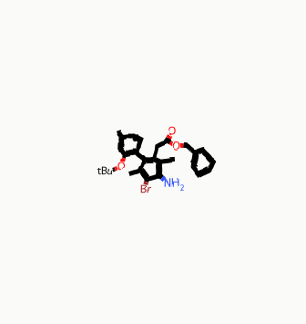 Cc1ccc(-c2c(C)c(Br)c(N)c(C)c2CC(=O)OCc2ccccc2)c(OC(C)(C)C)c1